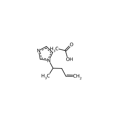 C=CCC(C)n1ccnc1.CC(=O)O